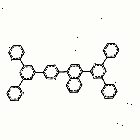 c1ccc(-c2nc(-c3ccccc3)nc(-c3ccc(-c4ncc(-c5cc(-c6ccccn6)nc(-c6ccccn6)c5)cn4)c4ccccc34)n2)cc1